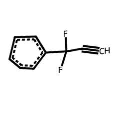 C#CC(F)(F)c1ccccc1